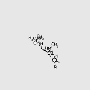 CCCNc1nc(Nc2ccc(C#N)c(F)c2)ncc1C#CCCCNC(=O)[C@H](C)NC